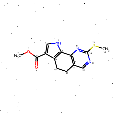 COC(=O)c1c[nH]c2c1CCc1cnc(SC)nc1-2